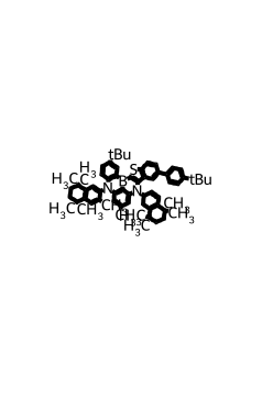 Cc1cc2c3c(c1)N(C1C=CC4=C(C1)C(C)(C)CCC4(C)C)c1c(sc4ccc(-c5ccc(C(C)(C)C)cc5)cc14)B3c1cc(C(C)(C)C)ccc1N2c1cc2c(cc1C)C(C)(C)CCC2(C)C